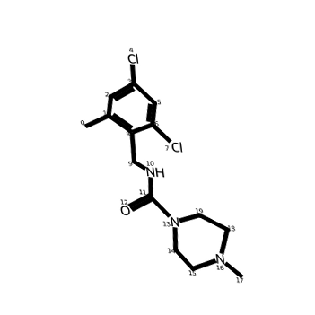 Cc1cc(Cl)cc(Cl)c1CNC(=O)N1CCN(C)CC1